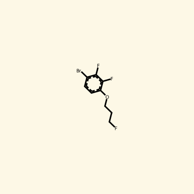 FCCCOc1ccc(Br)c(F)c1F